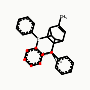 CC1=CC2C(C(C)C)CC1C(P(c1ccccc1)c1ccccc1)C2P(c1ccccc1)c1ccccc1